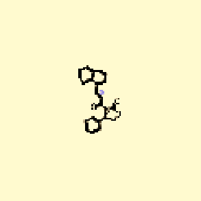 O=C(/C=C/c1cccc2ccccc12)N1C(=O)OCC1c1ccccc1